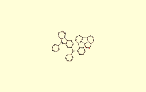 c1ccc2c(c#1)c1ccc(N(c3ccccc3)c3cccc4c3-c3cccc5c3C43c4ccccc4-c4cccc-5c43)cc1n2-c1ccccc1